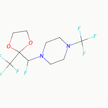 FC(N1CCN(C(F)(F)F)CC1)C1(C(F)(F)F)OCCO1